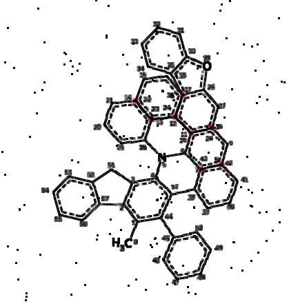 Cc1c2c(c(N(c3ccccc3-c3ccccc3)c3ccccc3-c3cccc4oc5ccccc5c34)c(-c3ccccc3)c1-c1ccccc1)Cc1ccccc1-2